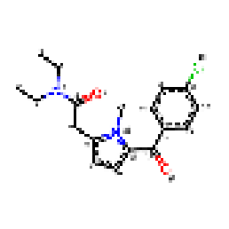 CCN(CC)C(=O)Cc1ccc(C(=O)c2ccc(Cl)cc2)n1C